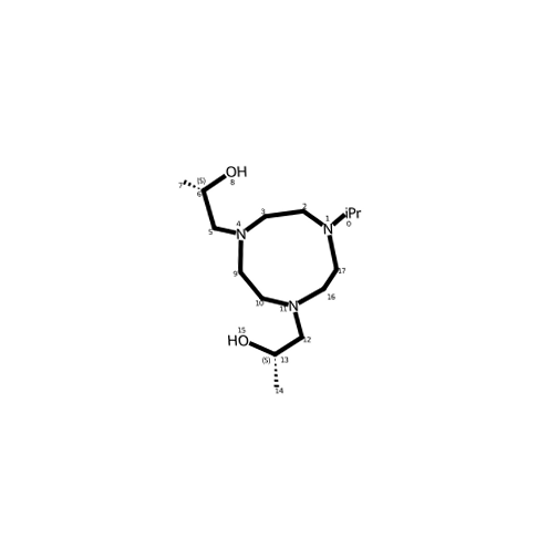 CC(C)N1CCN(C[C@H](C)O)CCN(C[C@H](C)O)CC1